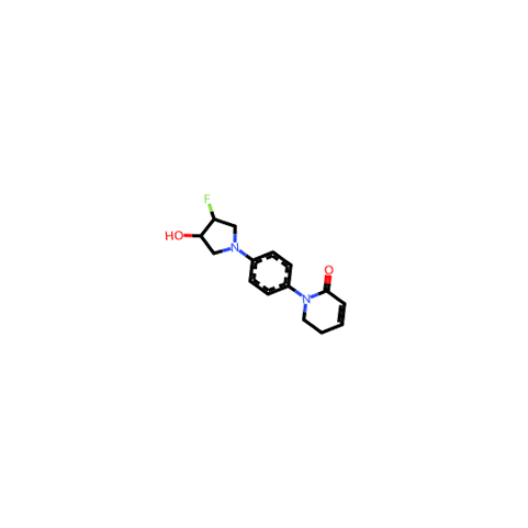 O=C1C=CCCN1c1ccc(N2CC(O)C(F)C2)cc1